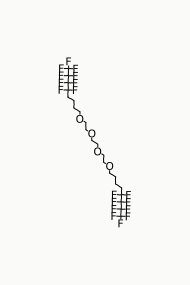 FC(F)(F)C(F)(F)C(F)(F)C(F)(F)CCCCOCCOCCOCCOCCCCC(F)(F)C(F)(F)C(F)(F)C(F)(F)F